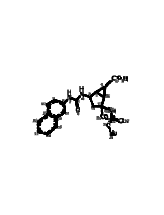 CCOC(=O)C1C2C(NC(=O)Nc3ccc4ccccc4c3)CC(NC(=O)OC(C)(C)C)(C(=O)OCC)C12